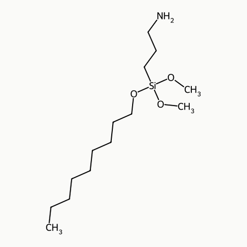 CCCCCCCCCO[Si](CCCN)(OC)OC